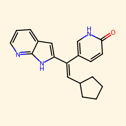 O=c1ccc(C(=CC2CCCC2)c2cc3cccnc3[nH]2)c[nH]1